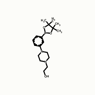 CC1(C)OB(c2cccc(N3CCN(CCO)CC3)c2)OC1(C)C